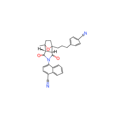 CC12CCC(CCCc3ccc(C#N)cc3)(O1)[C@@H]1C(=O)N(c3ccc(C#N)c4ccccc34)C(=O)[C@@H]12